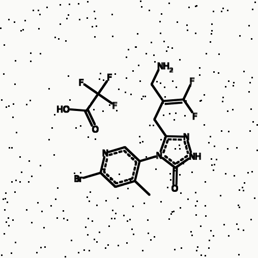 Cc1cc(Br)ncc1-n1c(CC(CN)=C(F)F)n[nH]c1=O.O=C(O)C(F)(F)F